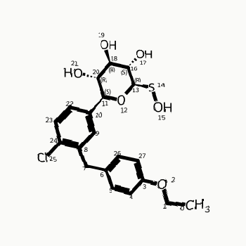 CCOc1ccc(Cc2cc([C@@H]3O[C@H](SO)[C@@H](O)[C@H](O)[C@H]3O)ccc2Cl)cc1